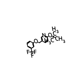 CC(C)(C)Oc1ccc(COc2cccc(C(F)(F)F)c2)cn1